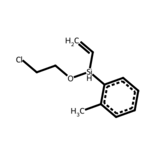 C=C[SiH](OCCCl)c1ccccc1C